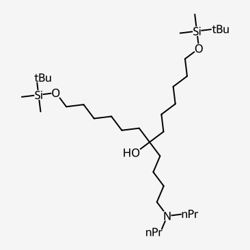 CCCN(CCC)CCCCC(O)(CCCCCCO[Si](C)(C)C(C)(C)C)CCCCCCO[Si](C)(C)C(C)(C)C